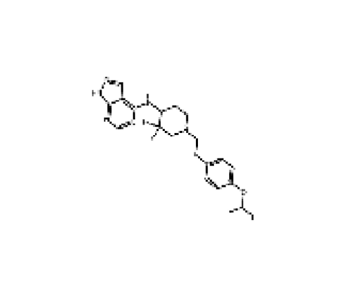 FC(F)Oc1ccc(CCN2CCC(Nc3ncnc4[nH]ncc34)C(F)(F)C2)cc1